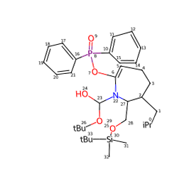 CC(C)CC1CCC=C(OP(=O)(c2ccccc2)c2ccccc2)N(C(O)OC(C)(C)C)C1CO[Si](C)(C)C(C)(C)C